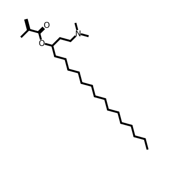 C=C(C)C(=O)OC(CCCCCCCCCCCCCCC)CCN(C)C